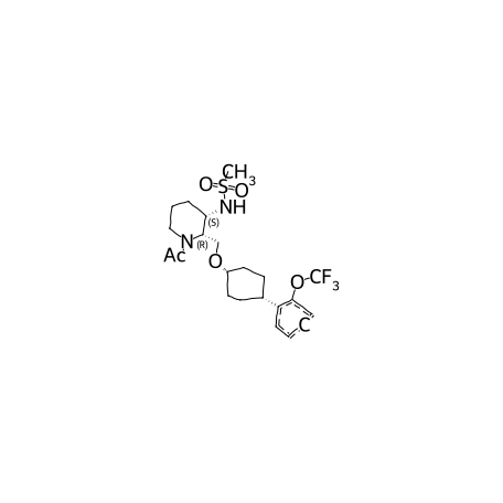 CC(=O)N1CCC[C@H](NS(C)(=O)=O)[C@@H]1CO[C@H]1CC[C@@H](c2ccccc2OC(F)(F)F)CC1